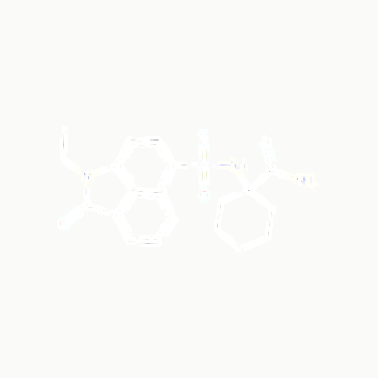 CCN1C(=O)c2cccc3c(S(=O)(=O)NC4(C(N)=O)CCCCC4)ccc1c23